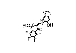 CCOC(=O)C(=CNc1cc2ocnc2cc1O)C(=O)c1cc(F)c(F)c(F)c1F